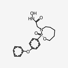 O=C(CN1CCCCCOP1(=O)c1ccc(Oc2ccccc2)cc1)NO